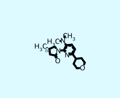 C[C@H]1CC(=O)N(c2nc(C3CCOCC3)ccc2N(C)C)C1